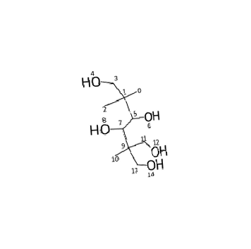 CC(C)(CO)C(O)C(O)C(C)(CO)CO